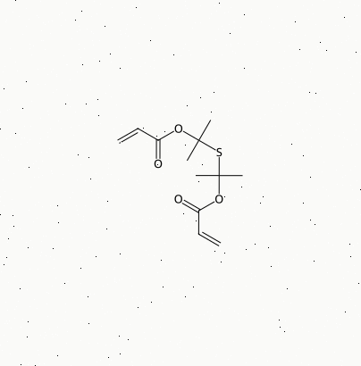 C=CC(=O)OC(C)(C)SC(C)(C)OC(=O)C=C